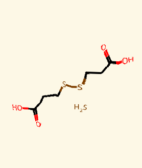 O=C(O)CCSSCCC(=O)O.S